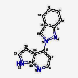 c1ccc2nn(-c3ccnc4[nH]ccc34)cc2c1